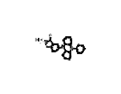 CN1Cc2ccc(N3c4ccccc4N(c4ccccc4)c4ccccc43)cc2C1=O